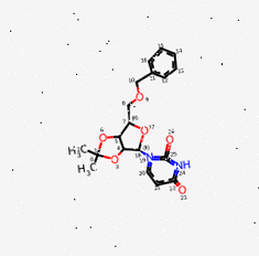 CC1(C)OC2C(O1)[C@@H](COCc1ccccc1)O[C@H]2n1ccc(=O)[nH]c1=O